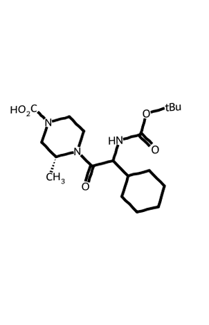 C[C@@H]1CN(C(=O)O)CCN1C(=O)C(NC(=O)OC(C)(C)C)C1CCCCC1